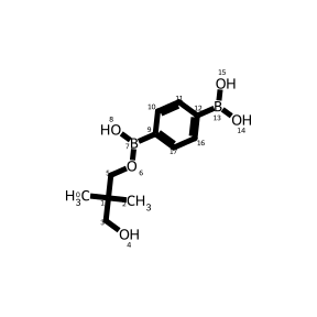 CC(C)(CO)COB(O)c1ccc(B(O)O)cc1